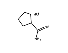 Cl.N=C(N)C1CCCC1